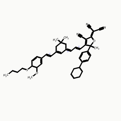 CCCCSC1C=CC(/C=C/C2=CC(=C/C=C/C3=C(C#N)C(=C(C#N)C#N)OC3(C)c3ccc(C4CCCCC4)cc3)/CC(C)(C)C2)=CC1OC